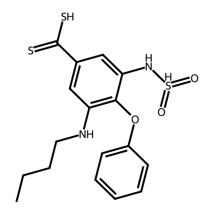 CCCCNc1cc(C(=S)S)cc(N[SH](=O)=O)c1Oc1ccccc1